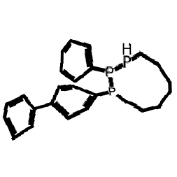 c1ccc(-c2ccc(P3CCCCCCCPP3c3ccccc3)cc2)cc1